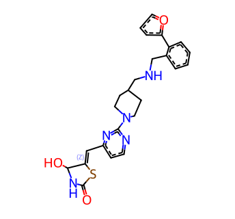 O=C1NC(O)/C(=C/c2ccnc(N3CCC(CNCc4ccccc4-c4ccco4)CC3)n2)S1